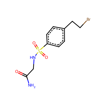 NC(=O)CNS(=O)(=O)c1ccc(CCBr)cc1